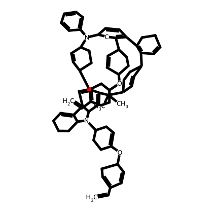 C=CC1=CCC(OC2=CCC(N3C4CCCC=C4C4C=C5C(=CC43)C(C)(C)C3C=CC(CC3)C3=C(CCC=C3)C3=C(C4C=CC(OC6CC=C(C=C)CC6)CC4)CC(C=C3)N(c3ccccc3)C3C=CC5CC3)CC2)C=C1